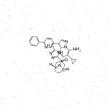 Cc1nnc(C(=O)N2[C@@H]3CC[C@H]2C[C@@H](c2nc4c(-c5ccc(-c6ccccc6)nc5)cnn4c(N)c2C2CC2)C3)[nH]1